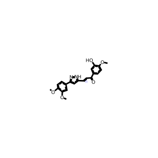 COc1ccc(C(=O)/C=C/c2cc(-c3ccc(OC)c(OC)c3)n[nH]2)cc1O